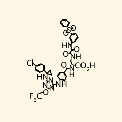 O=C(NC[C@H](NC(=O)c1ccc(Nc2nc(NC3(c4ccc(Cl)cc4)CC3)nc(OCC(F)(F)F)n2)cc1)C(=O)O)C(=O)Nc1cccc(S(=O)(=O)c2ccccc2)c1